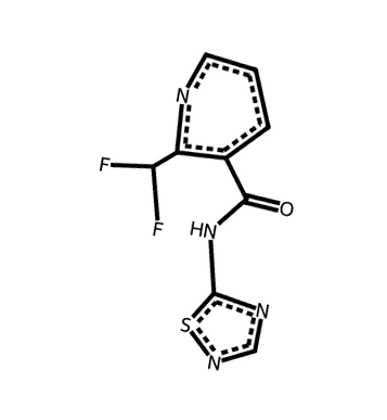 O=C(Nc1ncns1)c1cccnc1C(F)F